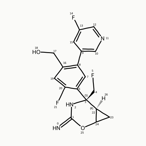 N=C1N[C@](CF)(c2cc(-c3cncc(F)c3)c(CO)cc2F)[C@H]2CC2O1